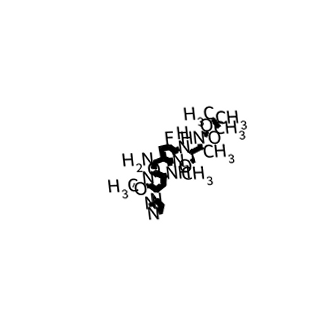 COC[C@@H](Nc1nc(Nc2cnc(OC)c(-n3ccnn3)c2)c(C(N)=O)cc1F)[C@H](C)NC(=O)OC(C)(C)C